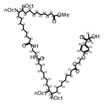 CCCCCCCCC(CCCCCCCCC(=O)NCCNC(=O)CCCCCCCCC(CCCCCCCC)C(CCCCCCCC)CCCCCCCCC(=O)OCCOc1ccc(C(=O)C(C)(C)O)cc1)C(CCCCCCCC)CCCCCCCCC(=O)OC